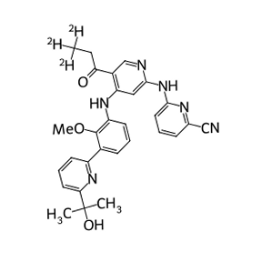 [2H]C([2H])([2H])CC(=O)c1cnc(Nc2cccc(C#N)n2)cc1Nc1cccc(-c2cccc(C(C)(C)O)n2)c1OC